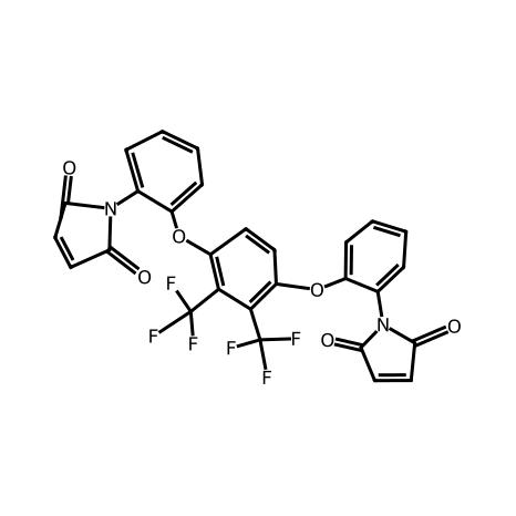 O=C1C=CC(=O)N1c1ccccc1Oc1ccc(Oc2ccccc2N2C(=O)C=CC2=O)c(C(F)(F)F)c1C(F)(F)F